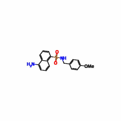 COc1ccc(CNS(=O)(=O)c2cccc3c(N)cccc23)cc1